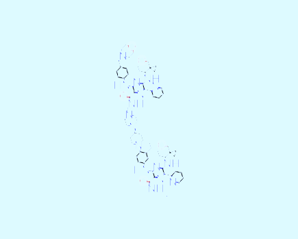 CCc1cc(Nc2nc(NC3CCOCC34CC4)c(-c3ccccn3)nc2C(N)=O)ccc1N1CCC(N2CCN(CNC(=O)c3nc(-c4ccccn4)c(NC4CCOCC45CC5)nc3Nc3ccc(CN4CCOCC4)cc3)CC2)CC1